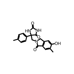 Cc1ccc(C2(CN3Cc4cc(O)c(C)cc4C3=O)NC(=O)NC2=O)cc1